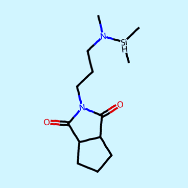 CN(CCCN1C(=O)C2CCCC2C1=O)[SiH](C)C